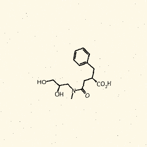 CN(CC(O)CO)C(=O)C[C@@H](Cc1ccccc1)C(=O)O